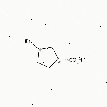 CC(C)N1CC[C@@H](C(=O)O)C1